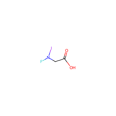 O=C(O)CN(F)I